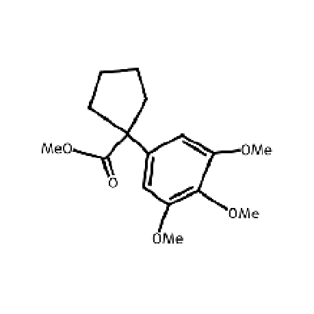 COC(=O)C1(c2cc(OC)c(OC)c(OC)c2)CCCC1